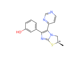 C[C@@H]1Cn2c(nc(-c3cccc(O)c3)c2-c2ccncn2)S1